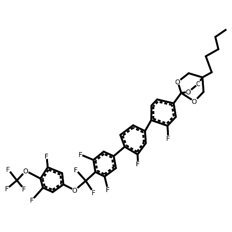 CCCCCC12COC(c3ccc(-c4ccc(-c5cc(F)c(C(F)(F)Oc6cc(F)c(OC(F)(F)F)c(F)c6)c(F)c5)c(F)c4)c(F)c3)(OC1)OC2